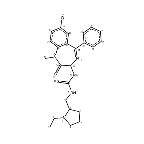 CCN1CCCC1CNC(=S)NC1N=C(c2ccccc2)c2cc(Cl)ccc2N(C)C1=O